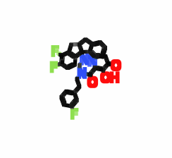 O=C1c2c(O)c(=O)ccn2N(C23c4ccccc4CC2Cc2c3ccc(F)c2F)CN1CCc1cccc(F)c1